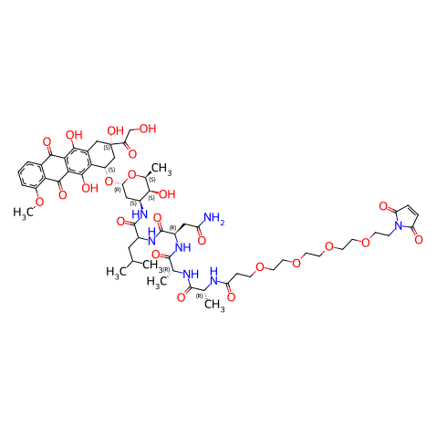 COc1cccc2c1C(=O)c1c(O)c3c(c(O)c1C2=O)C[C@@](O)(C(=O)CO)C[C@@H]3O[C@H]1C[C@H](NC(=O)C(CC(C)C)NC(=O)[C@@H](CC(N)=O)NC(=O)[C@@H](C)NC(=O)[C@@H](C)NC(=O)CCOCCOCCOCCOCCN2C(=O)C=CC2=O)[C@H](O)[C@H](C)O1